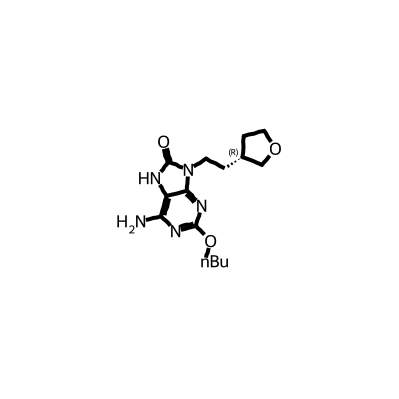 CCCCOc1nc(N)c2[nH]c(=O)n(CC[C@@H]3CCOC3)c2n1